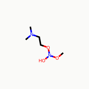 CON(O)OCCN(C)C